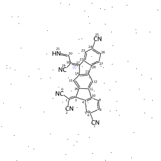 N#CC(C#N)=C1c2cc(C#N)ccc2-c2cc3c(cc21)/C(=C(\C#N)C=N)c1cc(C#N)ccc1-3